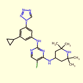 CC1(C)CC(Nc2nc(Nc3cc(C4CC4)cc(-n4cnnn4)c3)ncc2F)CC(C)(C)N1